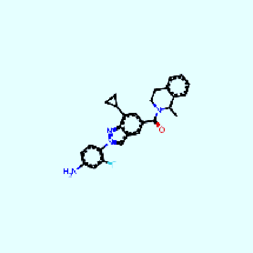 CC1c2ccccc2CCN1C(=O)c1cc(C2CC2)c2nn(-c3ccc(N)cc3F)cc2c1